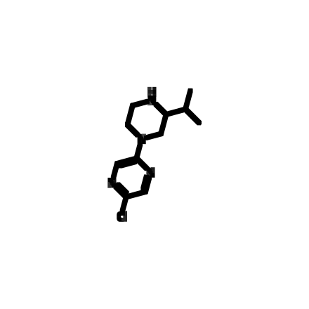 CC(C)C1CN(c2cnc(Cl)cn2)CCN1